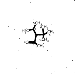 CC(=O)C(C(C)C)C(C)(C)C